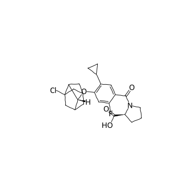 O=C(O)[C@@H]1CCCN1C(=O)c1cc(C2CC2)c(O[C@@H]2C3CC4CC2C(Cl)(C4)C3)cc1F